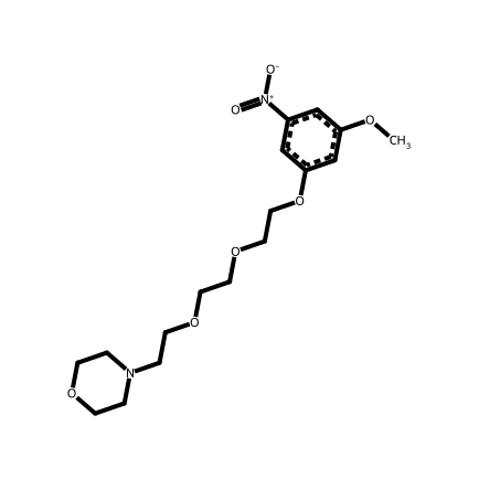 COc1cc(OCCOCCOCCN2CCOCC2)cc([N+](=O)[O-])c1